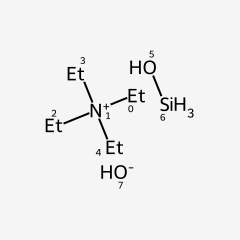 CC[N+](CC)(CC)CC.O[SiH3].[OH-]